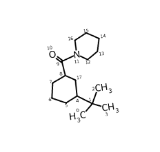 CC(C)(C)C1CCCC(C(=O)N2CCCCC2)C1